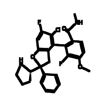 CNC(=O)c1ccc(OC)c(F)c1-c1c(Cl)c(F)cc2c1C[C@](c1ccccc1)([C@@H]1CCCN1)O2